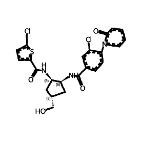 O=C(N[C@H]1C[C@H](CO)C[C@H]1NC(=O)c1ccc(Cl)s1)c1ccc(-n2ccccc2=O)c(Cl)c1